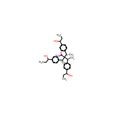 CCC(O)c1ccc([C@H](C)C(C(N)=O)([C@@H](C)c2ccc(C(O)CC)cc2)[C@@H](C)c2ccc(C(O)CC)cc2)cc1